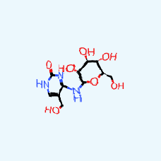 O=c1nc(NC2O[C@H](CO)[C@@H](O)[C@H](O)[C@H]2O)c(CO)c[nH]1